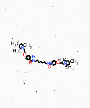 CC1CC(C)N(CCCOc2ccc(C(=O)NCCCCCCCNC(=O)c3ccc(OCCCN4C(C)CC(C)CC4C)cc3)cc2)C(C)C1